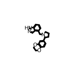 c1cc(CN2CCCC2c2ccc3c(c2)OCCO3)c2cn[nH]c2c1